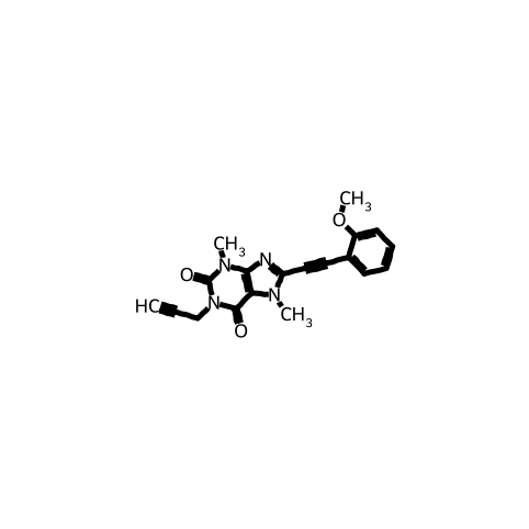 C#CCn1c(=O)c2c(nc(C#Cc3ccccc3OC)n2C)n(C)c1=O